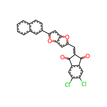 O=C1C(=Cc2cc3oc(-c4ccc5ccccc5c4)cc3o2)C(=O)c2cc(Cl)c(Cl)cc21